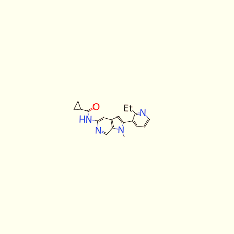 CCc1ncccc1-c1cc2cc(NC(=O)C3CC3)ncc2n1C